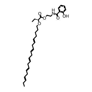 CCC=CCC=CCC=CCC=CCC=CCCCCO[C@@H](CC)C(=O)OCCNC(=O)c1ccccc1O